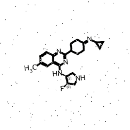 Cc1ccc2nc(C3CCC(=NC4CC4)CC3)nc(N[C@H]3CNC[C@H]3F)c2c1